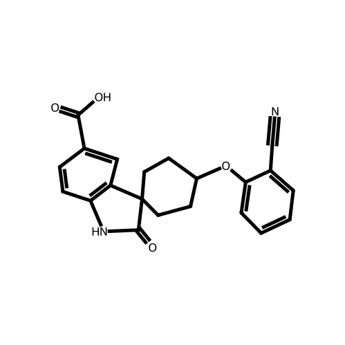 N#Cc1ccccc1OC1CCC2(CC1)C(=O)Nc1ccc(C(=O)O)cc12